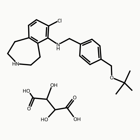 CC(C)(C)OCc1ccc(CNc2c(Cl)ccc3c2CCNCC3)cc1.O=C(O)C(O)C(O)C(=O)O